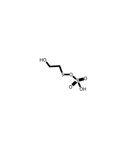 O=S(=O)(O)OSCCO